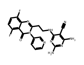 N#Cc1c(N)nc(N)nc1NCCc1nc2c(F)ccc(F)c2c(=O)n1-c1cccnc1